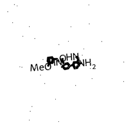 COc1cccc(CNC(=O)c2cccc(-c3ccc(N)c(C=N)c3)c2)c1